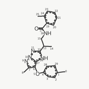 Cc1ccc(Oc2c(C)nn3nc(C(C)CNC(=O)c4ccccc4C)[nH]c23)cc1